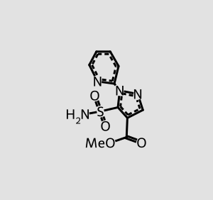 COC(=O)c1cnn(-c2ccccn2)c1S(N)(=O)=O